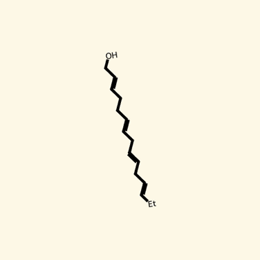 CCC=CCC=CCC=CCCC=CCO